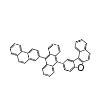 c1ccc2c(c1)ccc1cc(-c3c4ccccc4c(-c4ccc5oc6ccc7ccccc7c6c5c4)c4ccccc34)ccc12